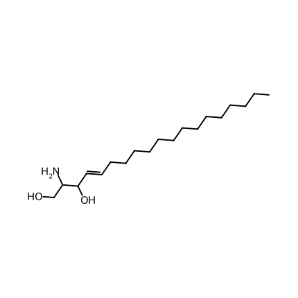 CCCCCCCCCCCCCC/C=C/C(O)C(N)CO